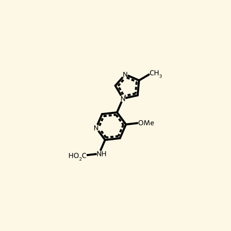 COc1cc(NC(=O)O)ncc1-n1cnc(C)c1